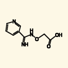 N=C(NOCC(=O)O)c1cccnc1